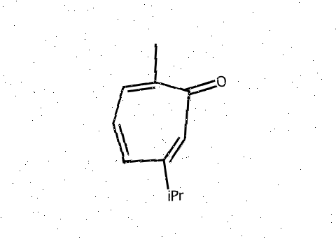 Cc1cccc(C(C)C)cc1=O